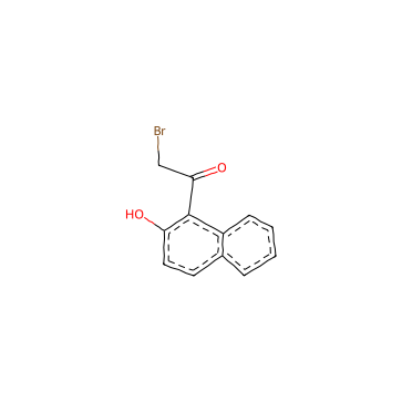 O=C(CBr)c1c(O)ccc2ccccc12